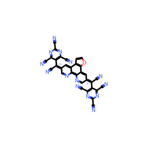 N#C/C(c1c(C#N)nc(C#N)nc1C#N)=c1\cnc2c(c1)c1ccoc1c1c/c(=C(\C#N)c3c(C#N)nc(C#N)nc3C#N)cnc12